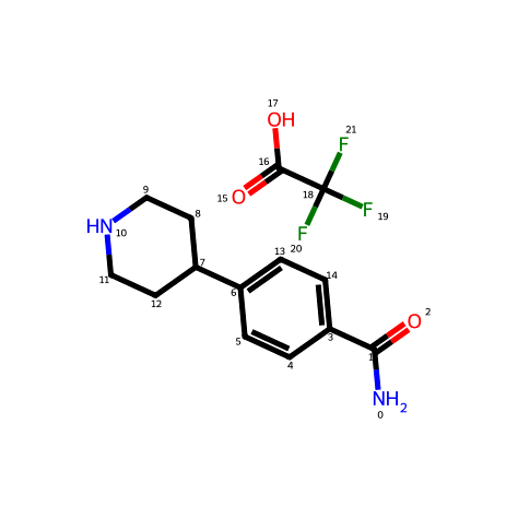 NC(=O)c1ccc(C2CCNCC2)cc1.O=C(O)C(F)(F)F